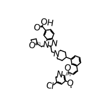 COc1cc(Cl)cnc1[C@H]1C=Cc2cccc(C3CCN(Cc4nc5ccc(C(=O)O)cc5n4C[C@@H]4CCO4)CC3)c2O1